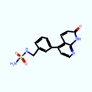 NS(=O)(=O)NCc1cccc(-c2ccnc3[nH]c(=O)ccc23)c1